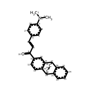 CN(C)c1ccc(C=CC(=O)c2ccc3c(c2)C2CCC3c3ccccc32)cc1